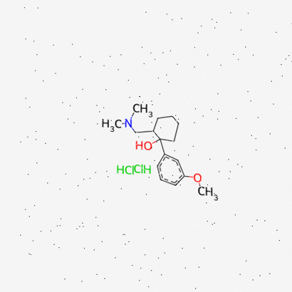 COc1cccc(C2(O)CCCCC2CN(C)C)c1.Cl.Cl